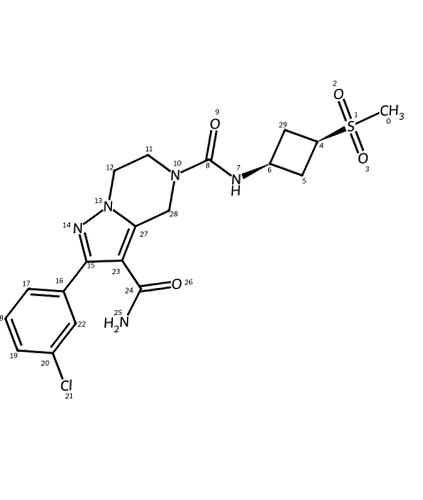 CS(=O)(=O)[C@H]1C[C@@H](NC(=O)N2CCn3nc(-c4cccc(Cl)c4)c(C(N)=O)c3C2)C1